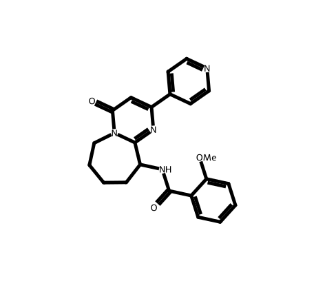 COc1ccccc1C(=O)NC1CCCCn2c1nc(-c1ccncc1)cc2=O